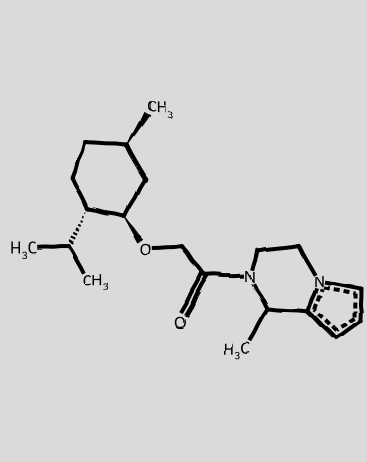 CC(C)[C@@H]1CC[C@@H](C)C[C@H]1OCC(=O)N1CCn2cccc2C1C